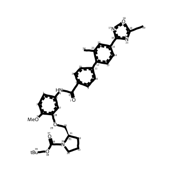 COc1ccc(NC(=O)c2ccc(-c3ccc(-c4noc(C)n4)cc3C)cc2)cc1OC[C@H]1CCCN1C(=O)OC(C)(C)C